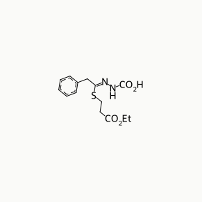 CCOC(=O)CCSC(Cc1ccccc1)=NNC(=O)O